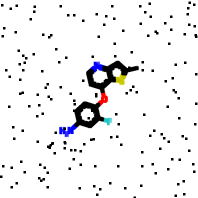 Cc1cc2nccc(Oc3ccc(N)cc3F)c2s1